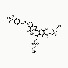 Cc1c(N)c(N(C)CCS(=O)(=O)CCO)nc(N(C)CCS(=O)(=O)CCO)c1/N=N/c1ccc(/N=N/c2ccc(S(=O)(=O)O)cc2)cc1S(=O)(=O)O